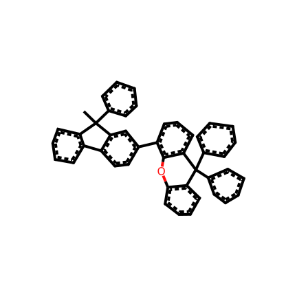 CC1(c2ccccc2)c2ccccc2-c2ccc(-c3cccc4c3Oc3ccccc3C4(c3ccccc3)c3ccccc3)cc21